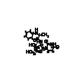 CC(Nc1ccccc1)C(=O)NC1[C@H](n2ccc(=O)[nH]c2=O)O[C@H](CO)[C@H]1O